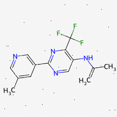 C=C(C)Nc1cnc(-c2cncc(C)c2)nc1C(F)(F)F